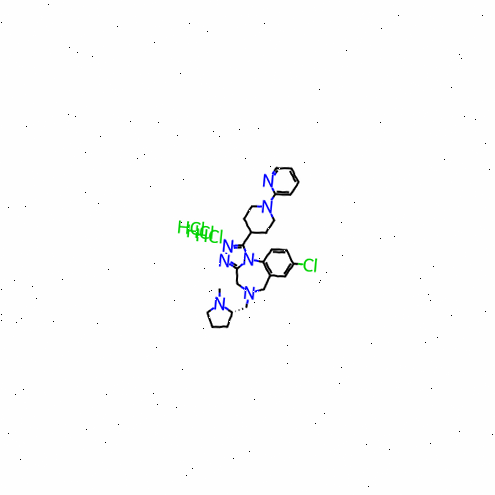 CN1CCC[C@H]1CN1Cc2cc(Cl)ccc2-n2c(nnc2C2CCN(c3ccccn3)CC2)C1.Cl.Cl.Cl